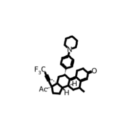 CC(=O)[C@@]1(C#CC(F)(F)F)CC[C@H]2[C@@H]3CC(C)C4=CC(=O)CCC4=C3[C@@H](c3ccc(N4CCCCC4)cc3)C[C@@]21C